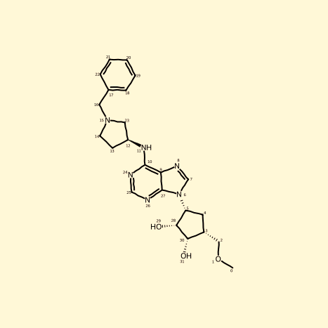 COC[C@H]1C[C@@H](n2cnc3c(N[C@H]4CCN(Cc5ccccc5)C4)ncnc32)[C@@H](O)[C@H]1O